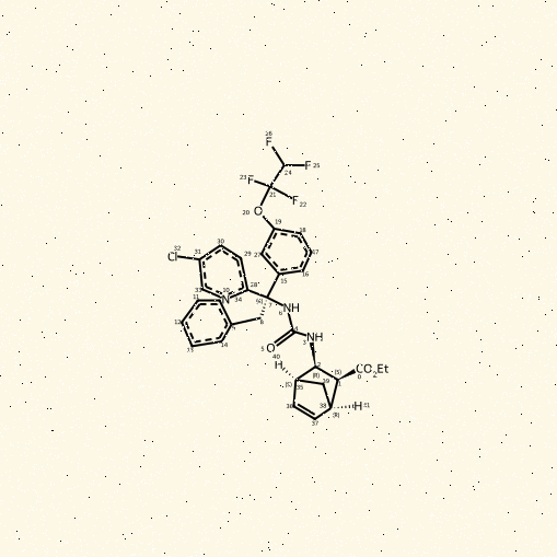 CCOC(=O)[C@@H]1[C@H](NC(=O)N[C@](Cc2ccccc2)(c2cccc(OC(F)(F)C(F)F)c2)c2ccc(Cl)cn2)[C@@H]2C=C[C@H]1C2